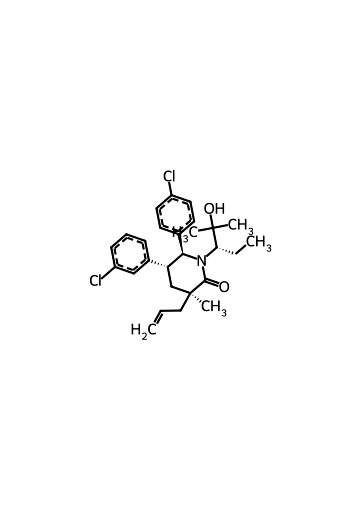 C=CC[C@@]1(C)C[C@H](c2cccc(Cl)c2)[C@@H](c2ccc(Cl)cc2)N([C@@H](CC)C(C)(C)O)C1=O